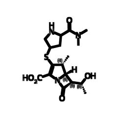 C[C@@H](O)[C@H]1C(=O)N2C(C(=O)O)=C(SC3CNC(C(=O)N(C)C)C3)[C@H](C)[C@H]12